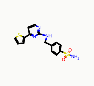 NS(=O)(=O)c1ccc(CNc2nccc(-c3cccs3)n2)cc1